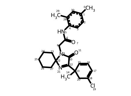 Cc1ccc(NC(=O)CN2C(=O)C(C3(C)C=CC=C(Cl)C3)=NC23CCCCC3)c(C)c1